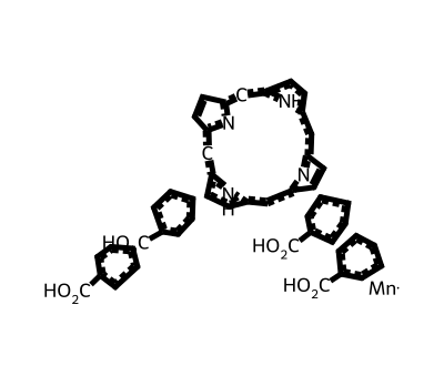 C1=Cc2cc3ccc(cc4nc(cc5ccc(cc1n2)[nH]5)C=C4)[nH]3.O=C(O)c1ccccc1.O=C(O)c1ccccc1.O=C(O)c1ccccc1.O=C(O)c1ccccc1.[Mn]